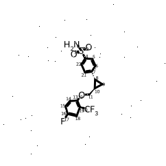 NS(=O)(=O)c1ccc([C@@H]2C[C@H]2COc2ccc(F)cc2C(F)(F)F)cc1